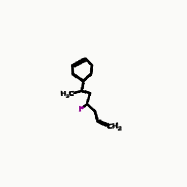 C=CCC(I)CC(C)C1CC=CCC1